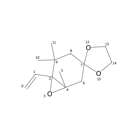 C=CC12OC1(C)CC1(CC2(C)C)OCCO1